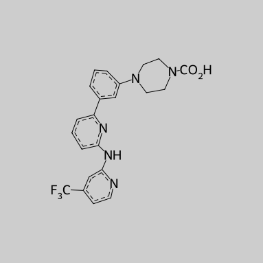 O=C(O)N1CCN(c2cccc(-c3cccc(Nc4cc(C(F)(F)F)ccn4)n3)c2)CC1